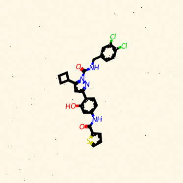 O=C(Nc1ccc(-c2cc(C3CCC3)n(C(=O)NCc3ccc(Cl)c(Cl)c3)n2)c(O)c1)c1cccs1